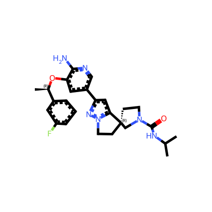 CC(C)NC(=O)N1CC[C@@]2(CCn3nc(-c4cnc(N)c(O[C@H](C)c5cccc(F)c5)c4)cc32)C1